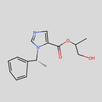 CC(CO)OC(=O)c1cncn1[C@H](C)c1ccccc1